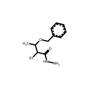 CCC(C(=O)NN)C(C)OCc1ccccc1